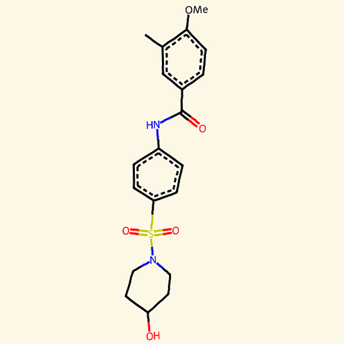 COc1ccc(C(=O)Nc2ccc(S(=O)(=O)N3CCC(O)CC3)cc2)cc1C